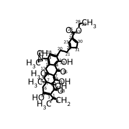 C=C(C)C1=C(O)C[C@]2(C)C[C@]3(C)Cc4c(N(C)C)cc(CCC5=CC(C(=O)OCC)=CC5)c(O)c4C(=O)C3=C(O)[C@]2(O)C1=O